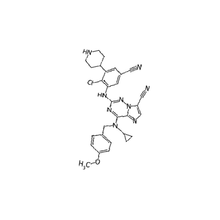 COc1ccc(CN(c2nc(Nc3cc(C#N)cc(C4CCNCC4)c3Cl)nn3c(C#N)cnc23)C2CC2)cc1